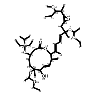 CCOC(C)OC(C)(/C=C/C=C(\C)C1OC(=O)CC(O[Si](CC)(CC)C(C)C)CCC(C)(OC(C)OCC)C(O)/C=C/C1C)CC1OC1C(C)C(CC)OC